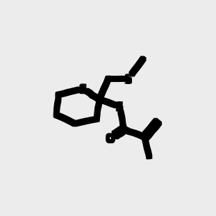 C=C(C)C(=O)SC1(CSC)CCCCS1